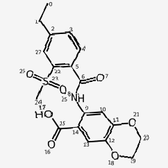 CCc1ccc(C(=O)Nc2cc3c(cc2C(=O)O)OCCO3)c(S(C)(=O)=O)c1